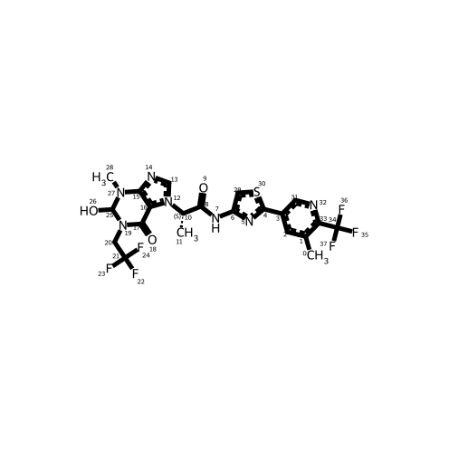 Cc1cc(-c2nc(NC(=O)[C@H](C)n3cnc4c3C(=O)N(CC(F)(F)F)C(O)N4C)cs2)cnc1C(F)(F)F